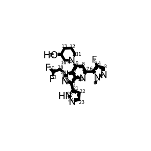 Cn1ncc(F)c1-c1cc(N2CCCC(O)C2)c2c(n1)c(-c1ccn[nH]1)nn2CC(F)F